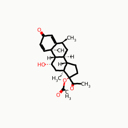 CC(=O)O[C@@]1(C(C)=O)CC[C@H]2[C@@H]3C[C@H](C)C4=CC(=O)C=C[C@]4(C)[C@H]3[C@@H](O)C[C@@]21C